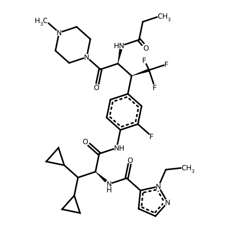 CCC(=O)N[C@H](C(=O)N1CCN(C)CC1)[C@H](c1ccc(NC(=O)[C@@H](NC(=O)c2ccnn2CC)C(C2CC2)C2CC2)c(F)c1)C(F)(F)F